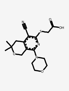 CC1(C)Cc2c(C#N)c(SCC(=O)O)nc(N3CCOCC3)c2CO1